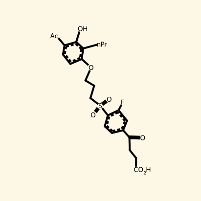 CCCc1c(OCCCS(=O)(=O)c2ccc(C(=O)CCC(=O)O)cc2F)ccc(C(C)=O)c1O